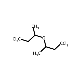 CC(CC(Cl)(Cl)Cl)OC(C)CC(Cl)(Cl)Cl